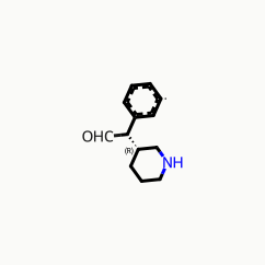 O=CC(c1c[c]ccc1)[C@H]1CCCNC1